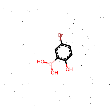 OB(O)c1cc(Br)ccc1O